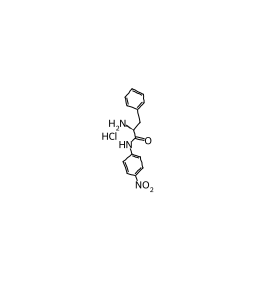 Cl.N[C@@H](Cc1ccccc1)C(=O)Nc1ccc([N+](=O)[O-])cc1